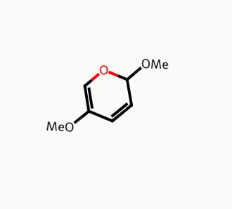 COC1=COC(OC)C=C1